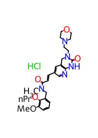 CCCOc1c(CN(C)C(=O)/C=C/c2cnc3c(c2)CN(CCN2CCOCC2)C(=O)N3)cccc1OC.Cl